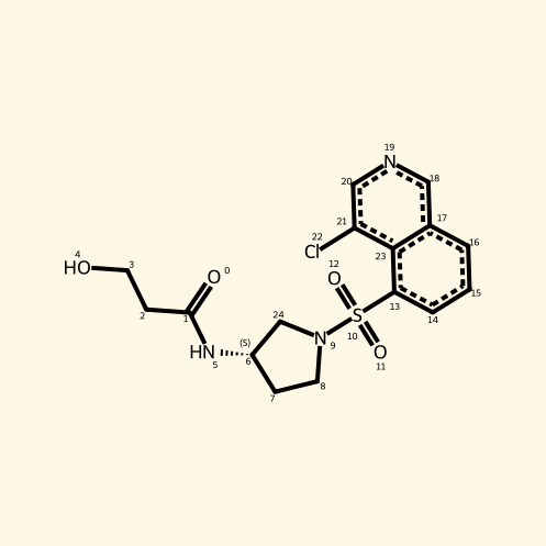 O=C(CCO)N[C@H]1CCN(S(=O)(=O)c2cccc3cncc(Cl)c23)C1